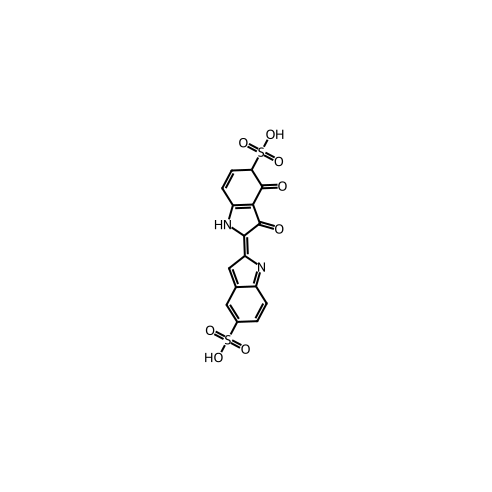 O=C1C(=C2C=c3cc(S(=O)(=O)O)ccc3=N2)NC2=C1C(=O)C(S(=O)(=O)O)C=C2